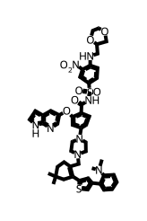 CN(C)c1ccccc1-c1csc(C2=C(CN3CCN(c4ccc(C(=O)NS(=O)(=O)c5ccc(NCC6COCCO6)c([N+](=O)[O-])c5)c(Oc5cnc6[nH]ccc6c5)c4)CC3)CCC(C)(C)C2)c1